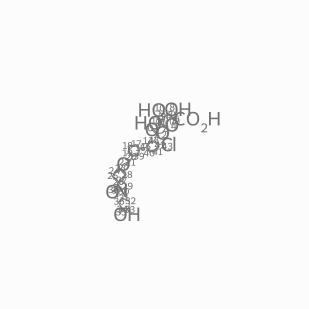 O=C(OC1O[C@H](C(=O)O)[C@@H](O)[C@H](O)[C@H]1O)c1cc(-c2cccc(COc3ccc4c(c3)CN(C3CCC(O)C3)C4=O)c2)ccc1Cl